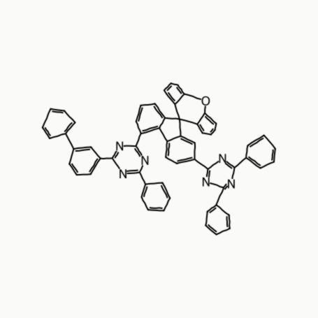 c1ccc(-c2cccc(-c3nc(-c4ccccc4)nc(-c4cccc5c4-c4ccc(-c6nc(-c7ccccc7)nc(-c7ccccc7)n6)cc4C54c5ccccc5Oc5ccccc54)n3)c2)cc1